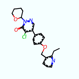 CCc1ncccc1COc1ccc(-c2cnn(C3CCCCO3)c(=O)c2Cl)cc1